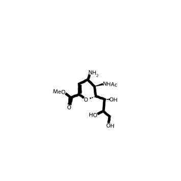 COC(=O)C1=CC(N)[C@@H](NC(C)=O)[C@H]([C@H](O)C(O)CO)O1